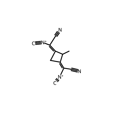 [C-]#[N+]/C(C#N)=C1\C/C(=C(/C#N)[N+]#[C-])C1C